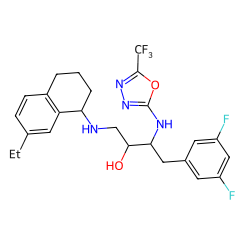 CCc1ccc2c(c1)C(NCC(O)C(Cc1cc(F)cc(F)c1)Nc1nnc(C(F)(F)F)o1)CCC2